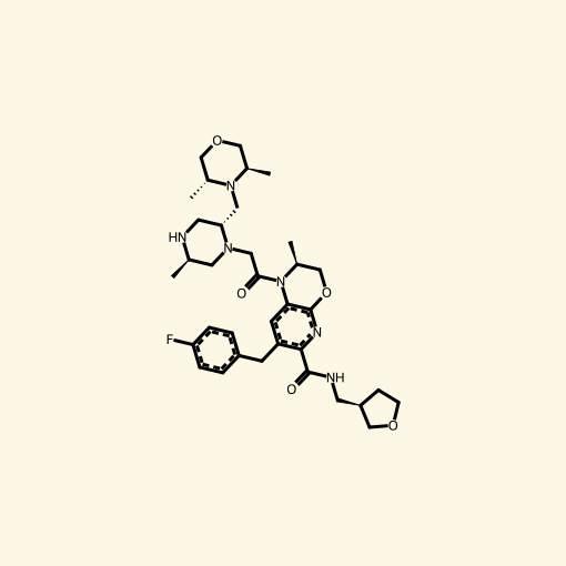 C[C@@H]1CN(CC(=O)N2c3cc(Cc4ccc(F)cc4)c(C(=O)NC[C@H]4CCOC4)nc3OC[C@@H]2C)[C@@H](CN2[C@H](C)COC[C@H]2C)CN1